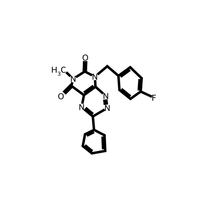 Cn1c(=O)c2nc(-c3ccccc3)nnc2n(Cc2ccc(F)cc2)c1=O